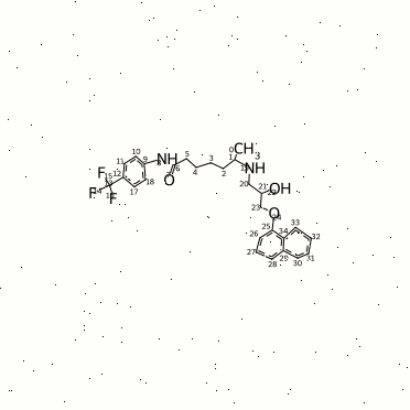 CC(CCCCC(=O)Nc1ccc(C(F)(F)F)cc1)NCC(O)COc1cccc2ccccc12